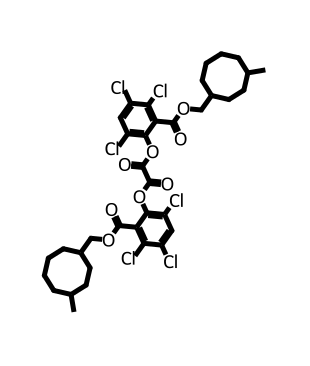 CC1CCCCC(COC(=O)c2c(Cl)c(Cl)cc(Cl)c2OC(=O)C(=O)Oc2c(Cl)cc(Cl)c(Cl)c2C(=O)OCC2CCCCC(C)CC2)CC1